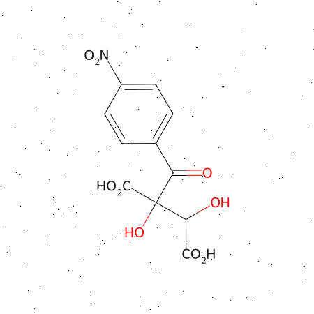 O=C(O)C(O)C(O)(C(=O)O)C(=O)c1ccc([N+](=O)[O-])cc1